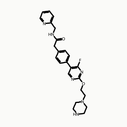 O=C(Cc1ccc(-c2cnc(OCCN3CCNCC3)nc2F)cc1)NCc1ccccn1